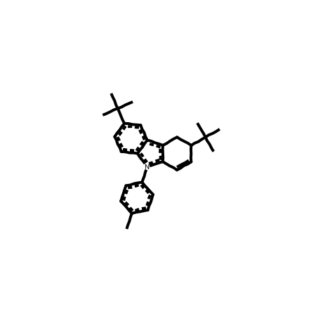 Cc1ccc(-n2c3c(c4cc(C(C)(C)C)ccc42)CC(C(C)(C)C)C=C3)cc1